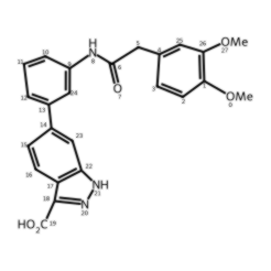 COc1ccc(CC(=O)Nc2cccc(-c3ccc4c(C(=O)O)n[nH]c4c3)c2)cc1OC